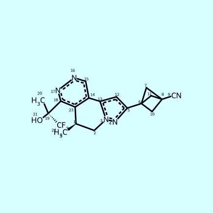 C[C@@H]1Cn2nc(C34CC(C#N)(C3)C4)cc2-c2cnnc([C@](C)(O)C(F)(F)F)c21